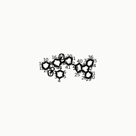 O=P(c1ccccc1)(c1ccccc1)c1ccc2oc3ccc(-c4ccc5c6ccccc6c6ccccc6c5c4)cc3c2c1